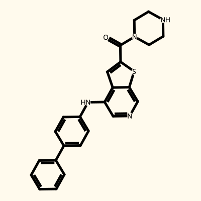 O=C(c1cc2c(Nc3ccc(-c4ccccc4)cc3)cncc2s1)N1CCNCC1